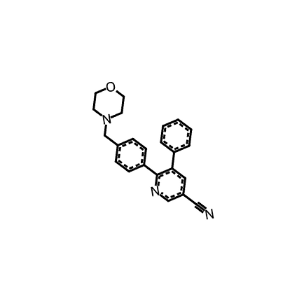 N#Cc1cnc(-c2ccc(CN3CCOCC3)cc2)c(-c2ccccc2)c1